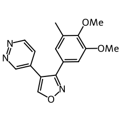 COc1cc(-c2nocc2-c2ccnnc2)cc(C)c1OC